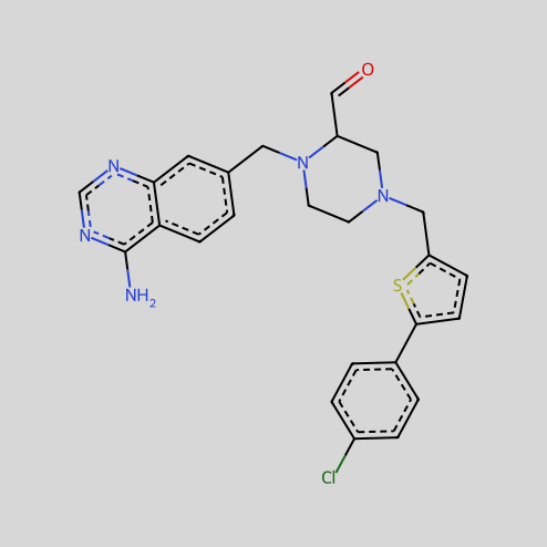 Nc1ncnc2cc(CN3CCN(Cc4ccc(-c5ccc(Cl)cc5)s4)CC3C=O)ccc12